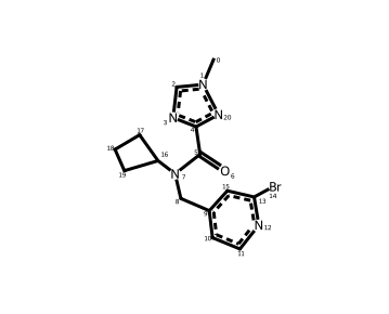 Cn1cnc(C(=O)N(Cc2ccnc(Br)c2)C2CCC2)n1